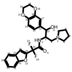 O=C(NC(CN1CCCC1)C(O)c1ccc2c(c1)OCCO2)C(F)(F)c1cc2ccccc2o1